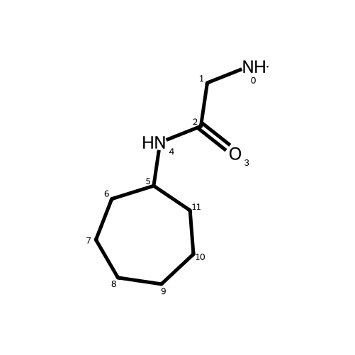 [NH]CC(=O)NC1CCCCCC1